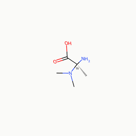 CN(C)[C@](C)(N)C(=O)O